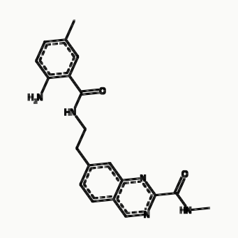 CNC(=O)c1ncc2ccc(CCNC(=O)c3cc(C)ccc3N)cc2n1